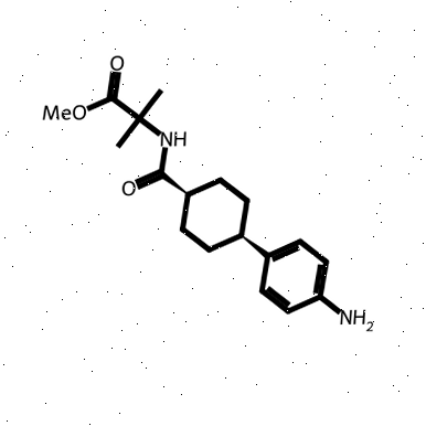 COC(=O)C(C)(C)NC(=O)[C@H]1CC[C@@H](c2ccc(N)cc2)CC1